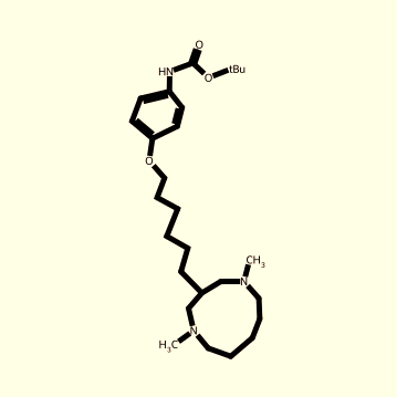 CN1CCCCCN(C)CC(CCCCCCOc2ccc(NC(=O)OC(C)(C)C)cc2)C1